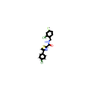 O=C(NCc1ccc(F)cc1Cl)c1nc(-c2ccc(Cl)cc2)cs1